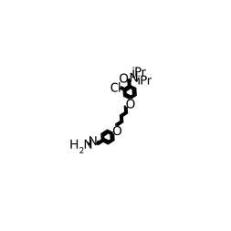 CC(C)N(C(=O)c1ccc(OCCCCCOc2ccc(C=NN)cc2)cc1Cl)C(C)C